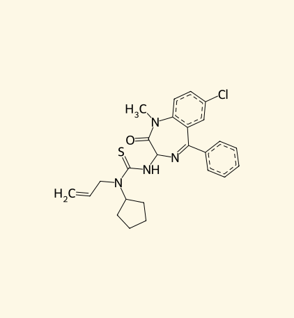 C=CCN(C(=S)NC1N=C(c2ccccc2)c2cc(Cl)ccc2N(C)C1=O)C1CCCC1